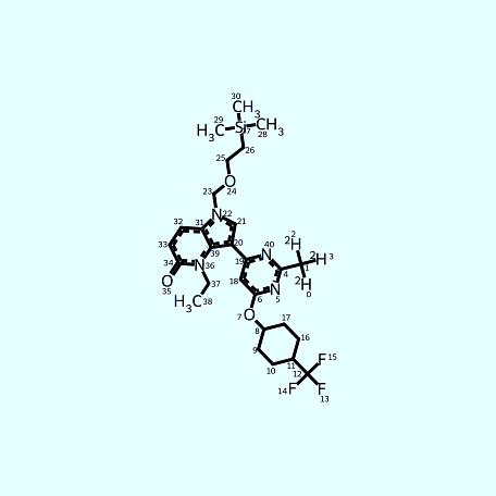 [2H]C([2H])([2H])c1nc(OC2CCC(C(F)(F)F)CC2)cc(-c2cn(COCC[Si](C)(C)C)c3ccc(=O)n(CC)c23)n1